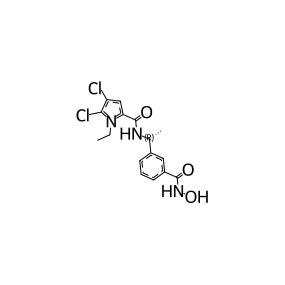 CCn1c(C(=O)N[C@H](C)c2cccc(C(=O)NO)c2)cc(Cl)c1Cl